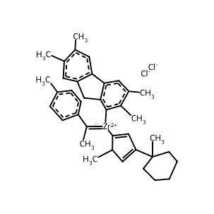 C/[C](c1ccc(C)cc1)=[Zr+2](\[C]1=CC(C2(C)CCCCC2)=CC1C)[c]1c(C)c(C)cc2c1Cc1cc(C)c(C)cc1-2.[Cl-].[Cl-]